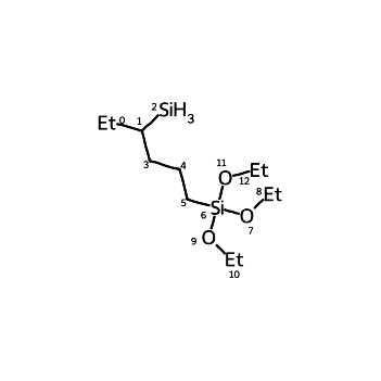 [CH2]CC([SiH3])CCC[Si](OCC)(OCC)OCC